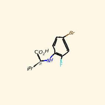 CC(C)[C@H](Nc1ccc(Br)cc1F)C(=O)O